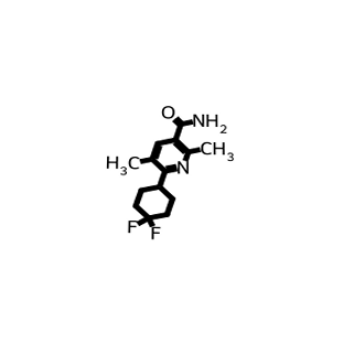 Cc1cc(C(N)=O)c(C)nc1C1CCC(F)(F)CC1